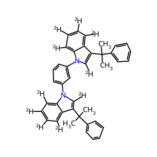 [2H]c1c([2H])c([2H])c2c(c1[2H])c(C(C)(C)c1ccccc1)c([2H])n2-c1cccc(-n2c([2H])c(C(C)(C)c3ccccc3)c3c([2H])c([2H])c([2H])c([2H])c32)c1